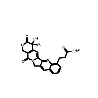 CCC1(O)C(=O)OCc2c1cc1n(c2=O)Cc2cc3cccc(CCC(=O)OC)c3nc2-1